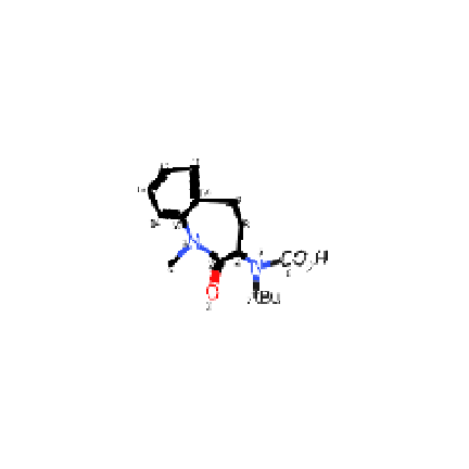 CN1C(=O)C(N(C(=O)O)C(C)(C)C)CCc2ccccc21